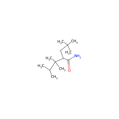 CC(C)C(C)(C)C(CC(C)(C)C)C(N)=O